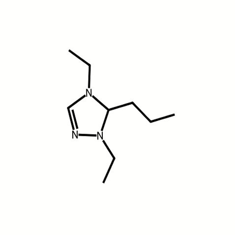 CCCC1N(CC)C=NN1CC